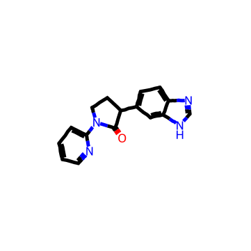 O=C1C(c2ccc3nc[nH]c3c2)CCN1c1ccccn1